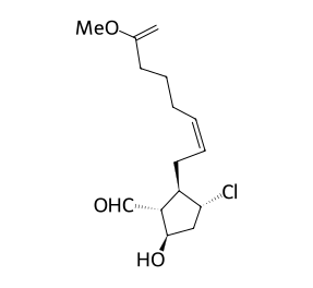 C=C(CCC/C=C\C[C@@H]1[C@@H](C=O)[C@H](O)C[C@H]1Cl)OC